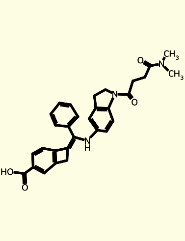 CN(C)C(=O)CCC(=O)N1CCc2cc(N/C(=C3\Cc4cc(C(=O)O)ccc43)c3ccccc3)ccc21